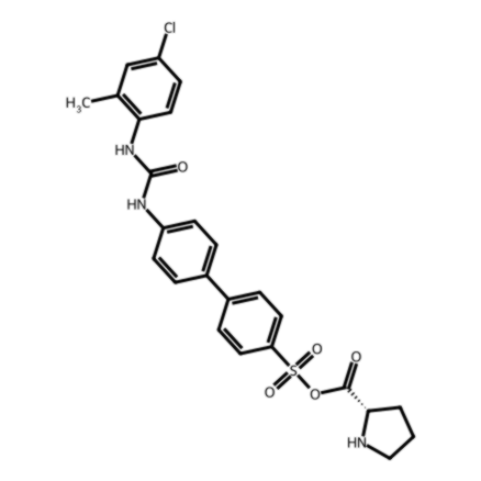 Cc1cc(Cl)ccc1NC(=O)Nc1ccc(-c2ccc(S(=O)(=O)OC(=O)[C@@H]3CCCN3)cc2)cc1